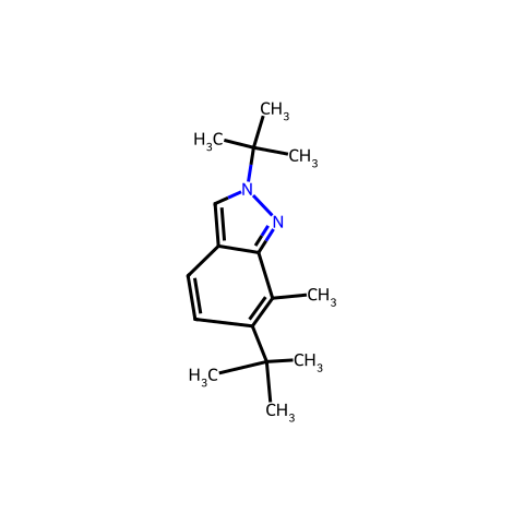 Cc1c(C(C)(C)C)ccc2cn(C(C)(C)C)nc12